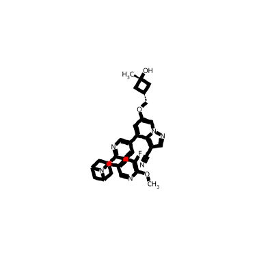 COc1ncc(CN2C3CC2CN(c2ccc(-c4cc(OC[C@H]5C[C@@](C)(O)C5)cn5ncc(C#N)c45)cn2)C3)cc1F